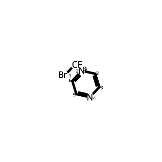 FC(F)(F)Br.c1cnccn1